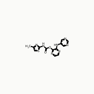 Cc1csc(NC(=O)Oc2nccnc2Nc2cncnc2)n1